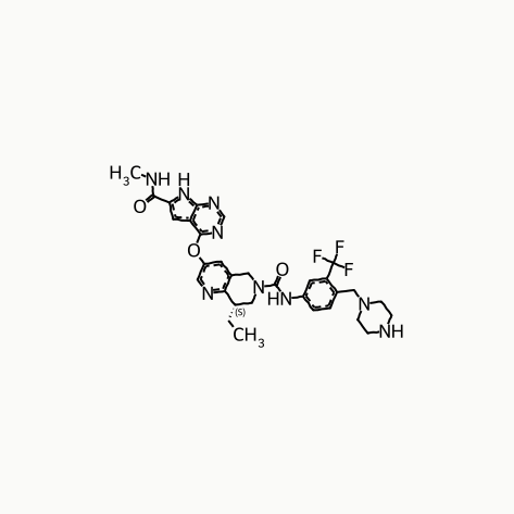 CC[C@H]1CN(C(=O)Nc2ccc(CN3CCNCC3)c(C(F)(F)F)c2)Cc2cc(Oc3ncnc4[nH]c(C(=O)NC)cc34)cnc21